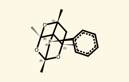 C[C@@]12C[C@@]3(C)O[C@@](C)(O1)[P@@](c1ccccc1)[C@@](C)(C2)O3